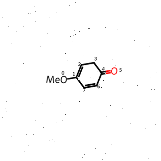 COC1=CCC(=O)C=C1